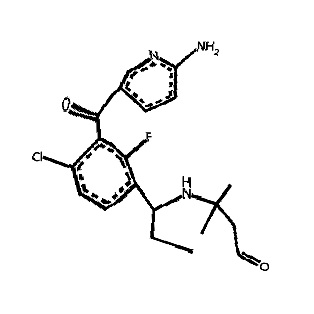 CCC(NC(C)(C)CC=O)c1ccc(Cl)c(C(=O)c2ccc(N)nc2)c1F